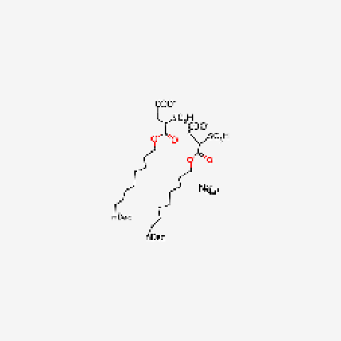 CCCCCCCCCCCCCCCCCCOC(=O)C(CC(=O)[O-])S(=O)(=O)O.CCCCCCCCCCCCCCCCCCOC(=O)C(CC(=O)[O-])S(=O)(=O)O.[Na+].[Na+]